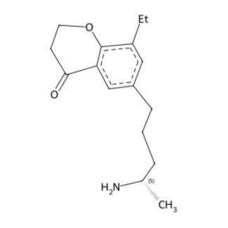 CCc1cc(CCC[C@H](C)N)cc2c1OCCC2=O